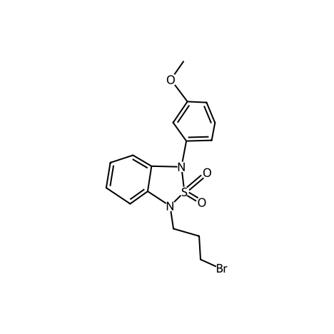 COc1cccc(N2c3ccccc3N(CCCBr)S2(=O)=O)c1